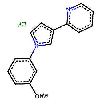 COc1cccc(-n2ccc(-c3ccccn3)c2)c1.Cl